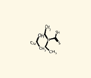 CCN(CC)C(=S)S.CCO.[Cu]